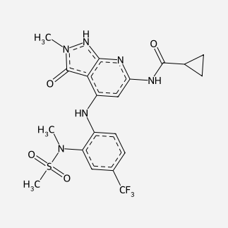 CN(c1cc(C(F)(F)F)ccc1Nc1cc(NC(=O)C2CC2)nc2[nH]n(C)c(=O)c12)S(C)(=O)=O